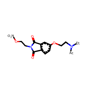 CCN(CCOc1ccc2c(c1)C(=O)N(CCO[N+](=O)[O-])C2=O)C(C)=O